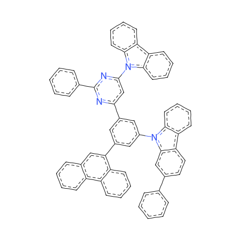 c1ccc(-c2ccc3c4ccccc4n(-c4cc(-c5cc(-n6c7ccccc7c7ccccc76)nc(-c6ccccc6)n5)cc(-c5cc6ccccc6c6ccccc56)c4)c3c2)cc1